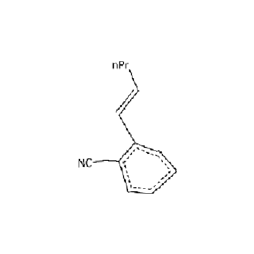 CCC/C=C/c1ccccc1C#N